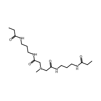 CCC(=O)NCCCNC(=O)CN(C)CC(=O)NCCCNC(=O)CC